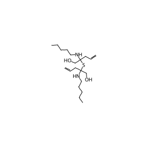 C=CCC(CO)(NCCCCC)SC(CO)(CC=C)NCCCCC